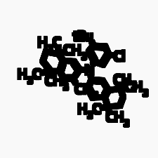 Cc1cc2c(cc1N(c1cc(Cl)cc(C(C)(C)C)c1)c1ccc3c(c1)C(C)(C)CCC3(C)C)C(C)(C)CCC2(C)C